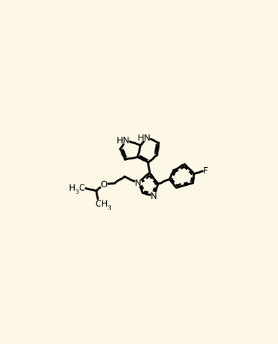 CC(C)OCCn1cnc(-c2ccc(F)cc2)c1C1=C2C=CNC2NC=C1